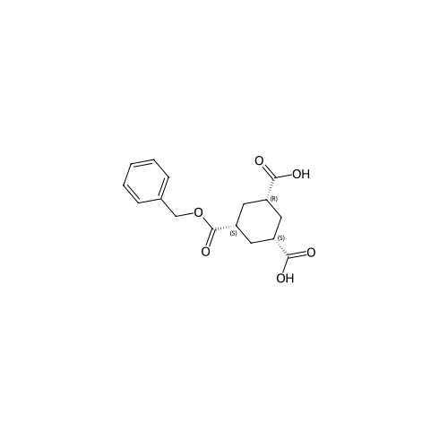 O=C(O)[C@@H]1C[C@H](C(=O)O)C[C@H](C(=O)OCc2ccccc2)C1